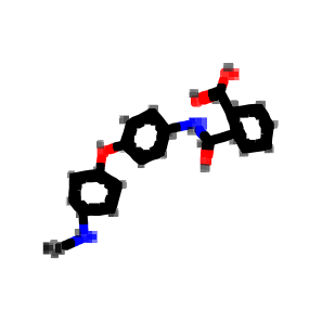 CNc1ccc(Oc2ccc(NC(=O)c3ccccc3C(=O)O)cc2)cc1